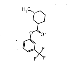 CN1CCCC(C(=O)Oc2cccc(C(F)(F)F)c2)C1